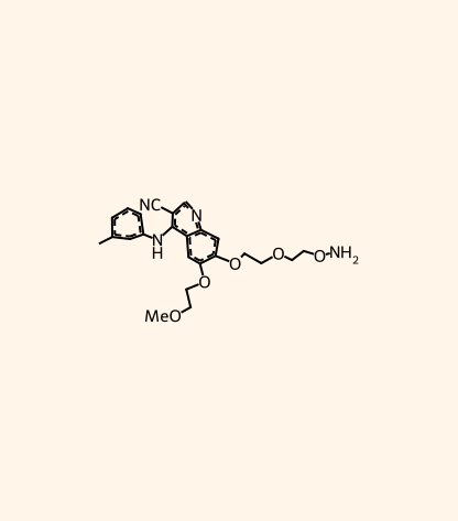 COCCOc1cc2c(Nc3cccc(C)c3)c(C#N)cnc2cc1OCCOCCON